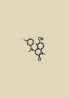 Cc1cccc(N(C)c2cc(=O)n(C)c3ccc(C#N)nc23)c1